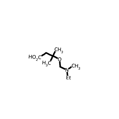 CCN(C)COC(C)(C)CC(=O)O